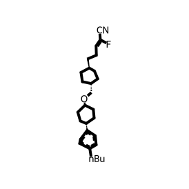 CCCCc1ccc([C@H]2CC[C@H](OC[C@H]3CC[C@H](CCC=C(F)C#N)CC3)CC2)cc1